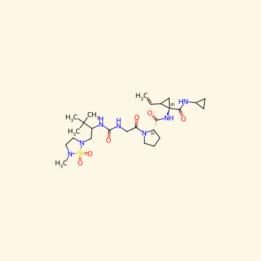 C=CC1C[C@]1(NC(=O)[C@@H]1CCCN1C(=O)CNC(=O)NC(CN1CCN(C)S1(=O)=O)C(C)(C)C)C(=O)NC1CC1